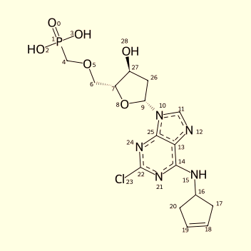 O=P(O)(O)COC[C@H]1O[C@@H](n2cnc3c(NC4CC=CC4)nc(Cl)nc32)C[C@@H]1O